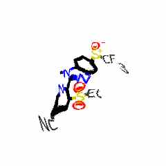 CCS(=O)(=O)c1cc(C#N)cnc1-c1nc2cc([S+]([O-])C(F)(F)F)ccc2n1C